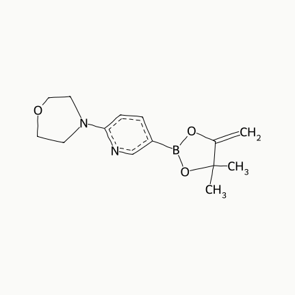 C=C1OB(c2ccc(N3CCOCC3)nc2)OC1(C)C